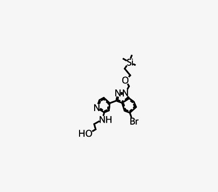 C[Si](C)(C)CCOCn1nc(-c2ccnc(NCCO)c2)c2cc(Br)ccc21